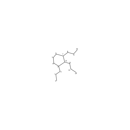 CCCC1[CH]CCC(CCC)C1CCC